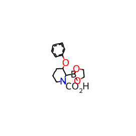 O=C(O)N1CCCC(Oc2ccccc2)C1B1OCCO1